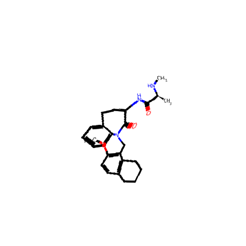 CN[C@@H](C)C(=O)NC1CCc2ccccc2N(Cc2c(OC)ccc3c2CCCC3)C1=O